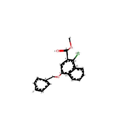 COC(=O)c1cc(OCc2ccccc2)c2ccccc2c1Br